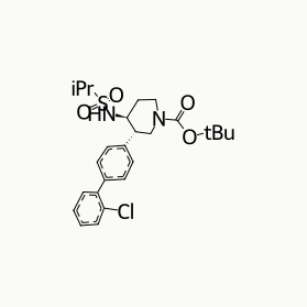 CC(C)S(=O)(=O)N[C@H]1CCN(C(=O)OC(C)(C)C)C[C@@H]1c1ccc(-c2ccccc2Cl)cc1